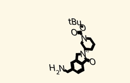 CC(C)(C)OC(=O)N1CCC[C@H](N2Cc3cc(CN)ccc3C2=O)C1